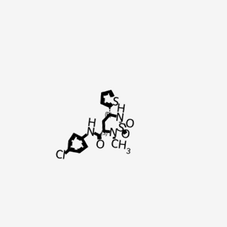 CN1[C@H](C(=O)Nc2ccc(Cl)cc2)C[C@H](c2cccs2)NS1(=O)=O